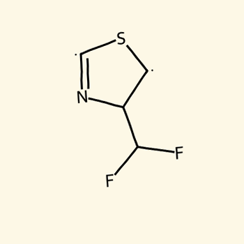 FC(F)C1[CH]S[C]=N1